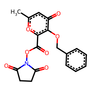 Cc1cc(=O)c(OCc2ccccc2)c(C(=O)ON2C(=O)CCC2=O)o1